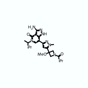 COC1(c2cc(-c3cn(C(C)C(C)C)c(=O)c4c(N)n[nH]c34)nn2C)CN(C(=O)C(C)C)C1